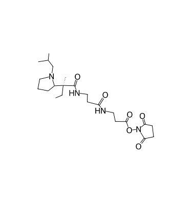 CC[C@](C)(C(=O)NCCC(=O)NCCC(=O)ON1C(=O)CCC1=O)C1CCCN1CC(C)C